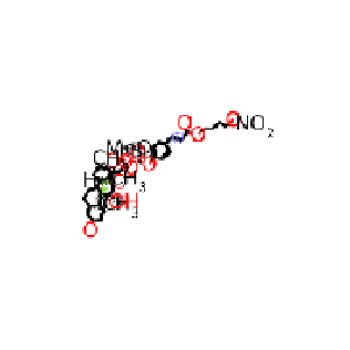 CCCCC(=O)O[C@]1(C(=O)COC(=O)Oc2ccc(/C=C/C(=O)OCCCCO[N+](=O)[O-])cc2OC)[C@@H](C)C[C@H]2C3CCC4=CC(=O)C=C[C@]4(C)[C@@]3(F)[C@@H](O)C[C@@]21C